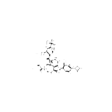 C=CC(=O)N1CCc2nn(-c3ccc(C4CCC4)cc3C)c3c2[C@H](C1)N(C(=O)c1cnc(C(F)(F)F)cc1N)CC3